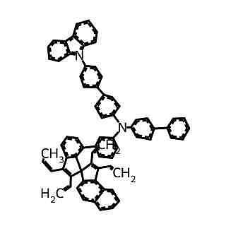 C=CC1=C(C=C)C2(C(C=C)=C(/C=C\C)c3cccc(-c4cccc(N(c5ccc(-c6ccccc6)cc5)c5ccc(-c6ccc(-n7c8ccccc8c8ccccc87)cc6)cc5)c4)c32)c2ccc3ccccc3c21